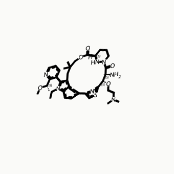 CCn1c(-c2cccnc2[C@H](C)OC)c2c3cc(ccc31)-c1csc(n1)[C@@H](OCCN(C)C)[C@H](N)C(=O)N1CCC[C@H](N1)C(=O)OCC(C)(C)C2